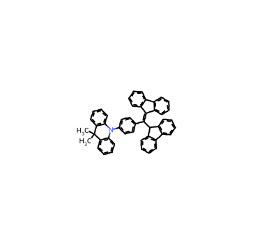 CC1(C)c2ccccc2N(c2ccc(C(=C3c4ccccc4-c4ccccc43)C3c4ccccc4-c4ccccc43)cc2)c2ccccc21